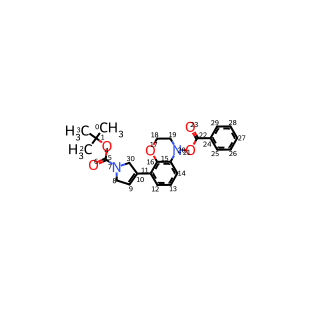 CC(C)(C)OC(=O)N1CC=C(c2cccc3c2OCCN3OC(=O)c2ccccc2)C1